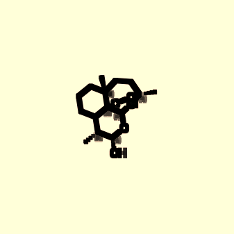 C[C@@H]1C2CCC[C@]3(C)CC[C@]4(C)OO[C@@]23[C@H](O[C@@H]1O)O4